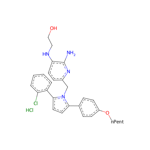 CCCCCOc1ccc(-c2ccc(-c3ccccc3Cl)n2Cc2ccc(NCCO)c(N)n2)cc1.Cl